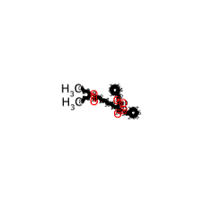 CCCCC(CCCC)OC(=O)CCCCCCC(C(=O)OCc1ccccc1)C(=O)OCc1ccccc1